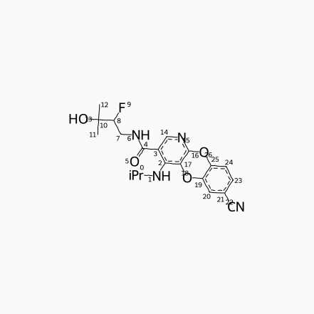 CC(C)Nc1c(C(=O)NCC(F)C(C)(C)O)cnc2c1Oc1cc(C#N)ccc1O2